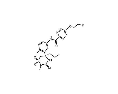 CCC[C@@]1(c2cc(NC(=O)c3cnc(OCCF)cn3)ccc2F)CS(=O)(=O)N(C)C(=N)N1